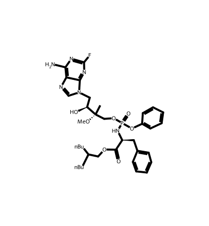 CCCCC(CCCC)COC(=O)[C@H](Cc1ccccc1)NP(=O)(OC[C@@](C)(OC)[C@@H](O)Cn1cnc2c(N)nc(F)nc21)Oc1ccccc1